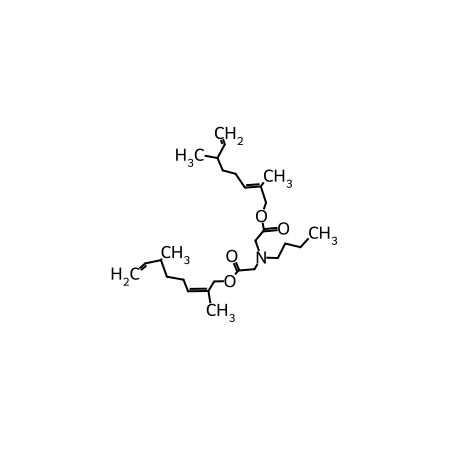 C=CC(C)CCC=C(C)COC(=O)CN(CCCC)CC(=O)OCC(C)=CCCC(C)C=C